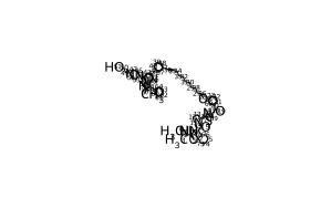 CN[C@@H](C)C(=O)N[C@H](C(=O)N1CCC[C@H]1c1nc(C(=O)c2cccc(OCCCCCCCCCC#Cc3cccc(-c4cc(N5CCN(CCO)CC5)n5nc(C)c(-c6ccccc6)c5n4)c3)c2)cs1)C1CCCCC1